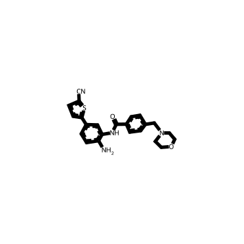 N#Cc1ccc(-c2ccc(N)c(NC(=O)c3ccc(CN4CCOCC4)cc3)c2)s1